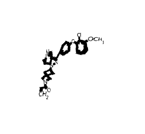 C=CC(=O)N1CC2(CC(n3nc(-c4ccc(Oc5cccc(OC)c5Cl)cc4)c4cnccc43)C2)C1